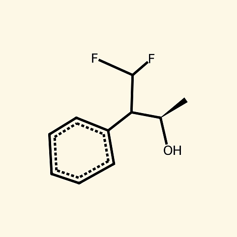 C[C@@H](O)C(c1ccccc1)C(F)F